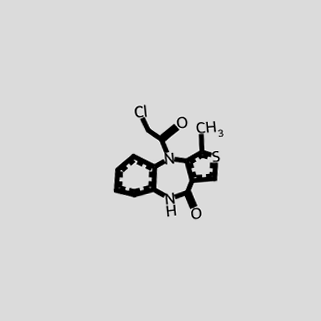 Cc1scc2c1N(C(=O)CCl)c1ccccc1NC2=O